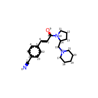 N#Cc1ccc(C=CC(=O)N2CCCC2CN2CCCCC2)cc1